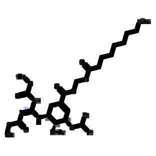 CCCCCCCCCCCCCCCCCC(=O)OCOC(=O)C1=C[C@@H](OC(CC)CC)[C@H](NC(C)=O)[C@@H](N/C(=N\C(=O)OC(C)(C)C)NC(=O)OC(C)(C)C)C1